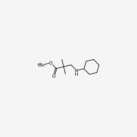 CC(C)(C)OC(=O)C(C)(C)CNC1CCCCC1